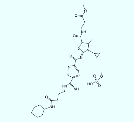 COC(=O)CCNC(=O)C1SC(=NC(=O)c2ccc(C(=N)NCCCC(=O)NC3CCCCC3)cc2)N(C2CC2)C1C.COS(=O)(=O)O